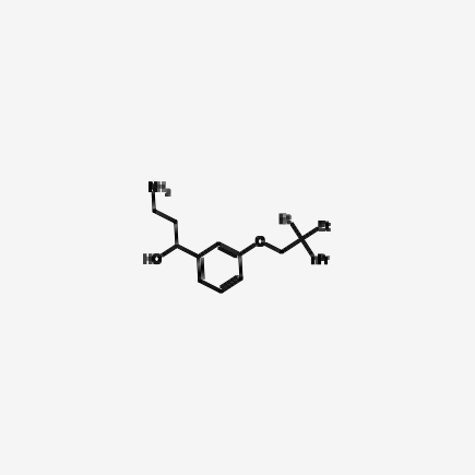 CCCC(CC)(CC)COc1cccc(C(O)CCN)c1